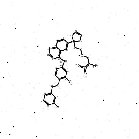 CC(C)C(COCCC1(c2ccc3ncnc(Nc4ccc(OCc5cccc(F)c5)c(Cl)c4)c3c2)CC=CO1)=S(=O)=O